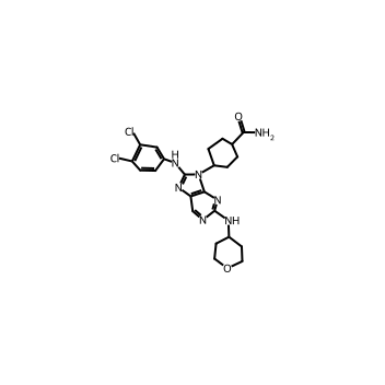 NC(=O)C1CCC(n2c(Nc3ccc(Cl)c(Cl)c3)nc3cnc(NC4CCOCC4)nc32)CC1